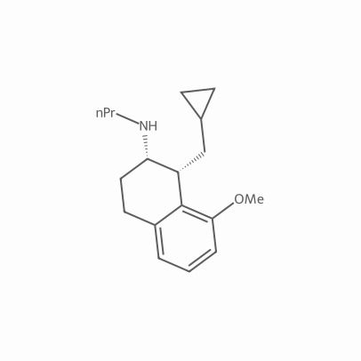 CCCN[C@H]1CCc2cccc(OC)c2[C@H]1CC1CC1